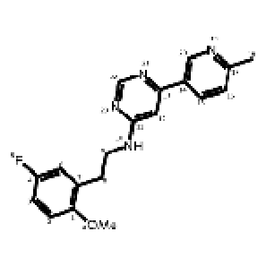 COc1ccc(F)cc1CCNc1cc(-c2ccc(C)nc2)ncn1